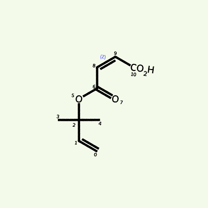 C=CC(C)(C)OC(=O)/C=C\C(=O)O